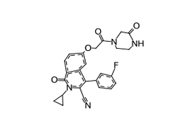 N#Cc1c(-c2cccc(F)c2)c2cc(OCC(=O)N3CCNC(=O)C3)ccc2c(=O)n1C1CC1